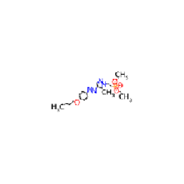 CCCCOc1ccc(/N=N/c2cnn(CCP(=O)(OCC)OCC)c2C)cc1